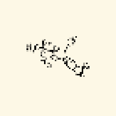 CCC(C)(C)C(=O)OC1C2CC(C1CO)C1C(=O)OCC21